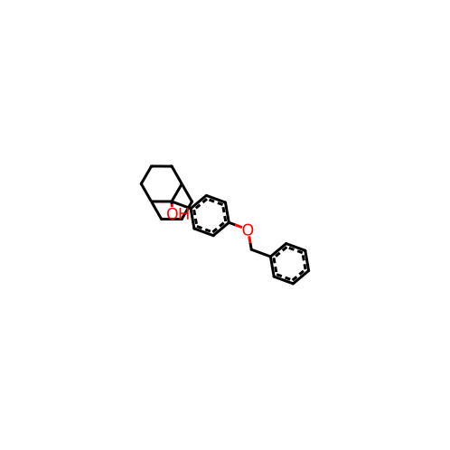 OC1(c2ccc(OCc3ccccc3)cc2)C2CCCC1CCC2